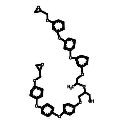 CC(COc1cccc(Oc2cccc(Oc3cccc(OCC4CO4)c3)c2)c1)OC(CO)COc1ccc(Oc2ccc(Oc3ccc(OCC4CO4)cc3)cc2)cc1